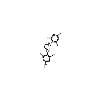 Cc1cc(C)c(N2C=[N+](c3c(C)cc(F)cc3C)CC2)c(C)c1